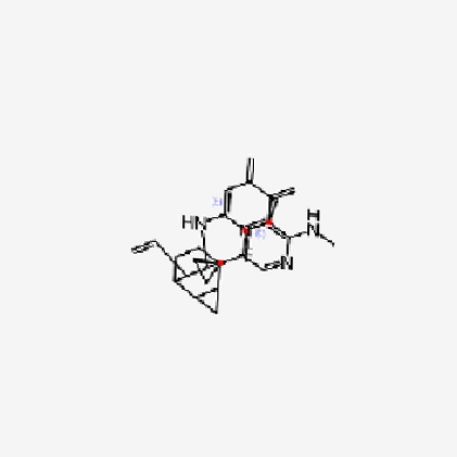 C=CC1C2CCC(C3CC23)C1NC(=C/C(=C)C(=C)c1nc(C2CC2)cnc1NC)/C(F)=C\C